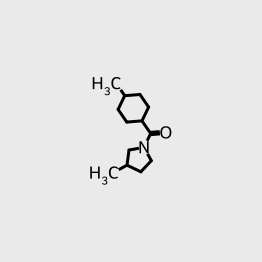 CC1CCC(C(=O)N2CCC(C)C2)CC1